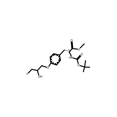 COC(=O)[C@@H](Cc1ccc(OCC(O)CF)cc1)NC(=O)OC(C)(C)C